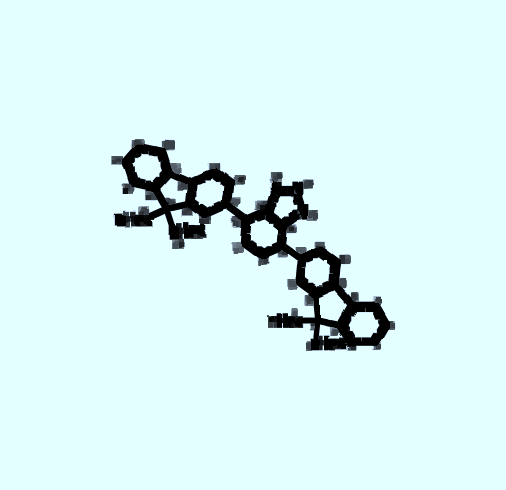 CCCCCCC1(CCCCCC)c2ccccc2-c2ccc(-c3ccc(-c4ccc5c(c4)C(CCCCCC)(CCCCCC)c4ccccc4-5)c4snnc34)cc21